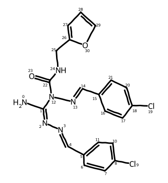 NC(=NN=Cc1ccc(Cl)cc1)N(N=Cc1ccc(Cl)cc1)C(=O)NCc1ccco1